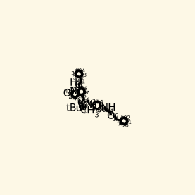 CC(C)(C)[Si](C)(C)O[C@@H](CN[C@H]1CC[C@H](NCCOCCc2ccccc2)CC1)c1ccc(OCc2ccccc2)c2[nH]c(=O)ccc12